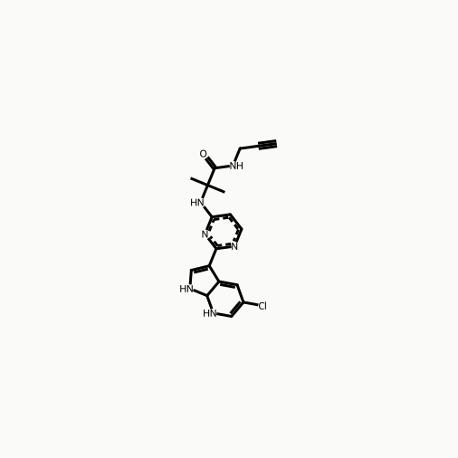 C#CCNC(=O)C(C)(C)Nc1ccnc(C2=CNC3NC=C(Cl)C=C23)n1